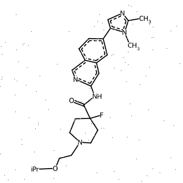 Cc1ncc(-c2ccc3cnc(NC(=O)C4(F)CCN(CCOC(C)C)CC4)cc3c2)n1C